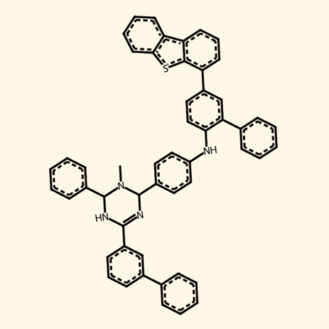 CN1C(c2ccc(Nc3ccc(-c4cccc5c4sc4ccccc45)cc3-c3ccccc3)cc2)N=C(c2cccc(-c3ccccc3)c2)NC1c1ccccc1